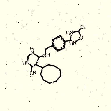 CCC1NC(c2ccc(CNC3NCNC(C#N)C3C3CCCCCCCC3)cc2)NO1